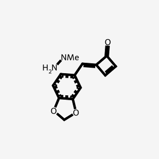 CNN.O=C1C=CC1=Cc1ccc2c(c1)OCO2